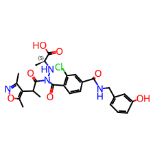 Cc1noc(C)c1C(C)C(=O)N(N[C@@H](C)C(=O)O)C(=O)c1ccc(C(=O)NCc2cccc(O)c2)cc1Cl